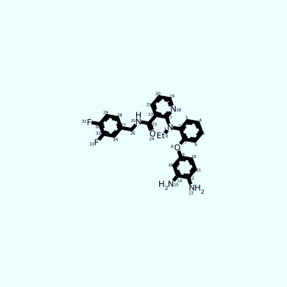 CCN(c1ccccc1Oc1ccc(N)c(N)c1)c1ncccc1C(=O)NCc1ccc(F)c(F)c1